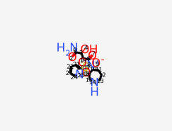 NC(=O)[C@@H](O)CC(=O)[N+]([O-])(C1CCCNCC1)S(=O)(=O)c1ccccn1